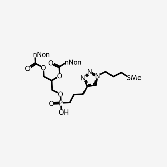 CCCCCCCCCC(=O)OCC(COP(=O)(O)CCCc1cn(CCCSC)nn1)OC(=O)CCCCCCCCC